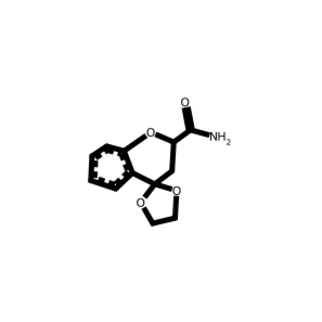 NC(=O)C1CC2(OCCO2)c2ccccc2O1